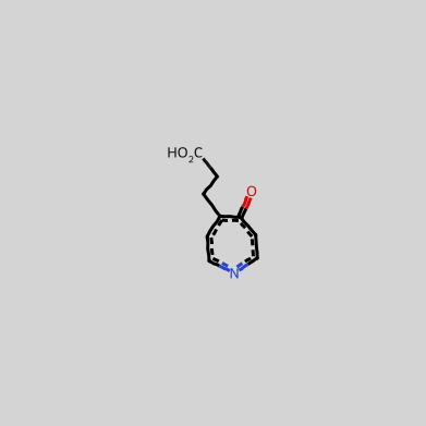 O=C(O)CCc1ccnccc1=O